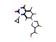 COC1=c2c(c(=O)[nH]c(=O)n2C2CC2)=C(C)C(F)C1N1CC(F)C(C(N)CO)C1